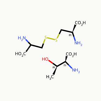 C[C@@H](O)[C@H](N)C(=O)O.NC(CSSC[C@H](N)C(=O)O)C(=O)O